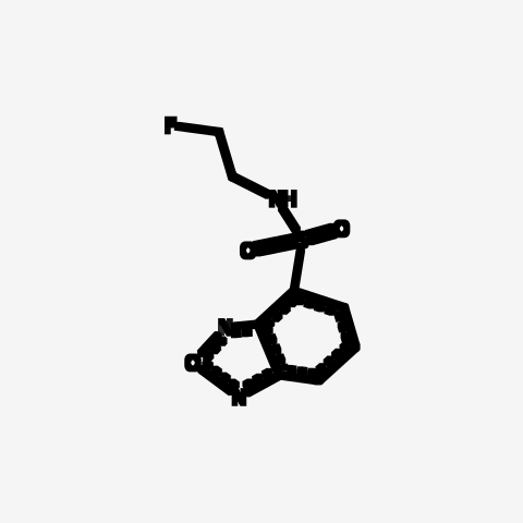 O=S(=O)(NCCF)c1cccc2nonc12